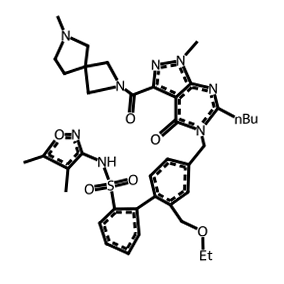 CCCCc1nc2c(c(C(=O)N3CC4(CCN(C)C4)C3)nn2C)c(=O)n1Cc1ccc(-c2ccccc2S(=O)(=O)Nc2noc(C)c2C)c(COCC)c1